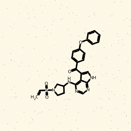 C=CS(=O)(=O)N1CCC(Nc2ncnc3[nH]cc(C(=O)c4ccc(Oc5ccccc5)cc4)c23)C1